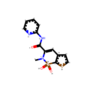 CN1C(C(=O)Nc2ccccn2)=Cc2ccsc2S1(=O)=O